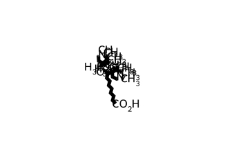 CN1CCC(C)(OC(=O)C(CCCCCCCC(=O)O)C2(C)CCN(C)C(C)(C)C2(C)C)C(C)(C)C1(C)C